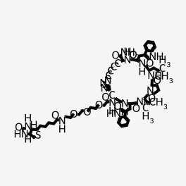 CC(C)CC1NC(=O)C2CCCN2C(=O)C(C(C)C)NC(=O)C(Cc2c[nH]c3ccccc23)NC(=O)[C@@H](NC(=O)COCCOCCOCCNC(=O)CCCCC2SC[C@H]3NC(=O)N[C@@H]23)Cc2cn(nn2)CCCCC(C(N)=O)NC(=O)C(Cc2c[nH]c3ccccc23)NC1=O